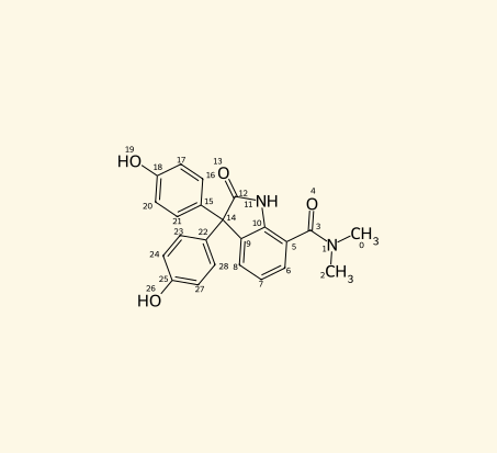 CN(C)C(=O)c1cccc2c1NC(=O)C2(c1ccc(O)cc1)c1ccc(O)cc1